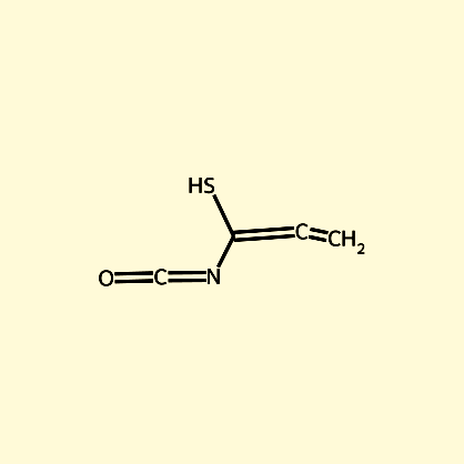 C=C=C(S)N=C=O